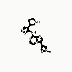 Cn1cc(-c2cnc3c(Nc4sncc4C4CCNC4)nccn23)cn1